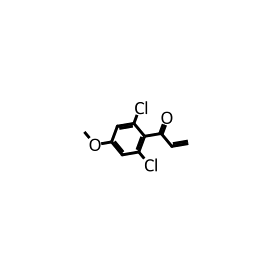 C=CC(=O)c1c(Cl)cc(OC)cc1Cl